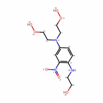 O=[N+]([O-])c1cc(N(CCOO)CCOO)ccc1NCCO